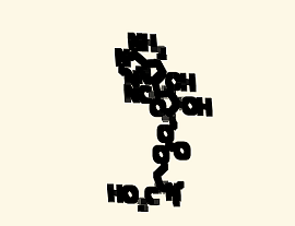 CN(C)[C@@H](CCOC(=O)OC[C@H]1O[C@@](C#N)(c2ccc3c(N)ncnn23)[C@H](O)[C@@H]1O)C(=O)O